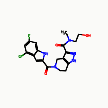 CN(CCO)C(=O)c1n[nH]c2c1CN(C(=O)c1cc3c(Cl)cc(F)cc3[nH]1)CC2